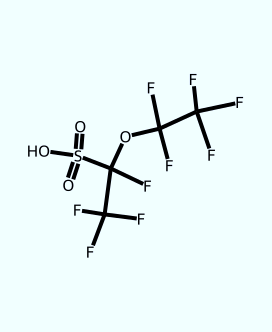 O=S(=O)(O)C(F)(OC(F)(F)C(F)(F)F)C(F)(F)F